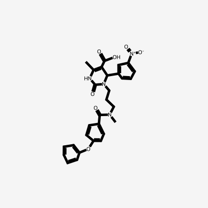 CC1=C(C(=O)O)C(c2cccc([N+](=O)[O-])c2)N(CCCN(C)C(=O)c2ccc(Oc3ccccc3)cc2)C(=O)N1